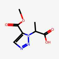 COC(=O)c1cnnn1C(C)C(=O)O